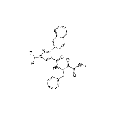 NC(=O)C(=O)C(Cc1ccccc1)NC(=O)c1cn(C(F)F)nc1-c1ccc2cccnc2c1